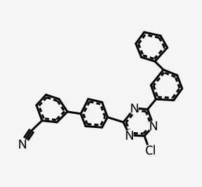 N#Cc1cccc(-c2ccc(-c3nc(Cl)nc(-c4cccc(-c5ccccc5)c4)n3)cc2)c1